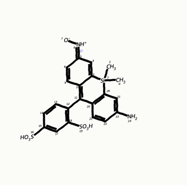 C[Si]1(C)C2=C/C(=[NH+]/[O-])C=CC2=C(c2ccc(S(=O)(=O)O)cc2S(=O)(=O)O)c2ccc(N)cc21